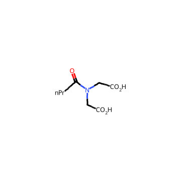 CCCC(=O)N(CC(=O)O)CC(=O)O